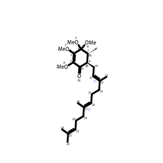 COC1=C(OC)C(OC)(OC)[C@H](C)[C@@H](C/C=C(\C)CC/C=C(\C)CCC=C(C)C)C1=O